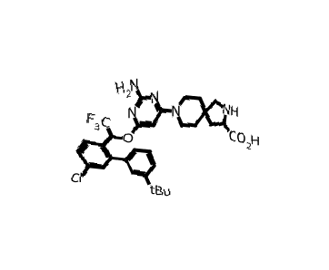 CC(C)(C)c1cccc(-c2cc(Cl)ccc2C(Oc2cc(N3CCC4(CC3)CNC(C(=O)O)C4)nc(N)n2)C(F)(F)F)c1